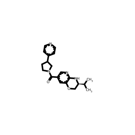 CC(C)[C@H]1COc2cc(C(=O)N3CCC(c4ccncc4)C3)cnc2N1